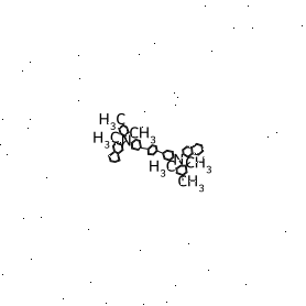 Cc1cc(C)c(N(c2ccc(-c3ccc(-c4ccc(N(c5ccc6ccccc6c5)c5c(C)cc(C)cc5C)cc4)cc3)cc2)c2ccc3ccccc3c2)c(C)c1